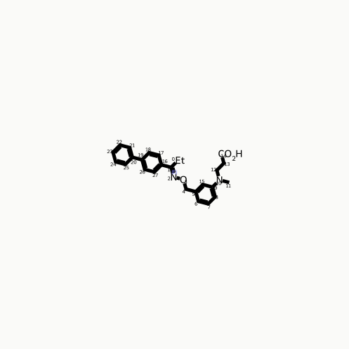 CC/C(=N\OCc1cccc(N(C)CCC(=O)O)c1)c1ccc(-c2ccccc2)cc1